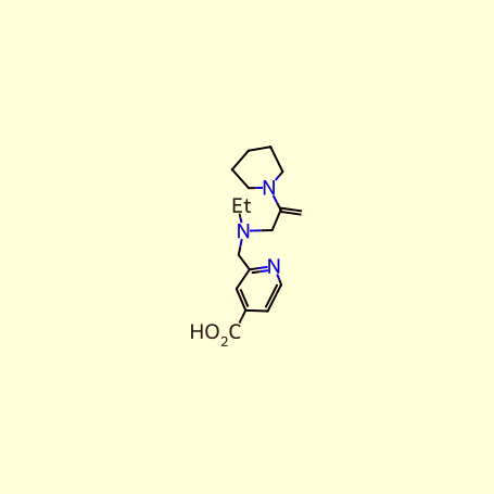 C=C(CN(CC)Cc1cc(C(=O)O)ccn1)N1CCCCC1